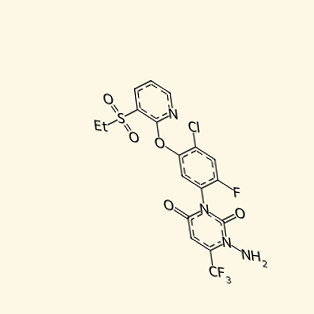 CCS(=O)(=O)c1cccnc1Oc1cc(-n2c(=O)cc(C(F)(F)F)n(N)c2=O)c(F)cc1Cl